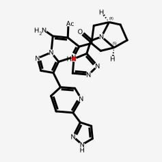 CC(=O)c1c(C2C[C@H]3CC[C@@H](C2)N3C(=O)c2nnc[nH]2)nc2c(-c3ccc(-c4cc[nH]n4)nc3)cnn2c1N